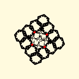 c1ccc([PH](c2ccccc2)(c2ccccc2)[Pd-4]([PH](c2ccccc2)(c2ccccc2)c2ccccc2)([PH](c2ccccc2)(c2ccccc2)c2ccccc2)[PH](c2ccccc2)(c2ccccc2)c2ccccc2)cc1